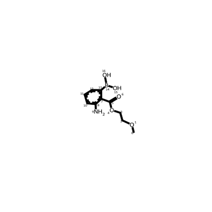 COCCOC(=O)c1c(N)cccc1B(O)O